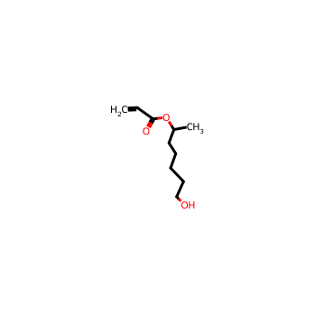 C=CC(=O)OC(C)CCCCCO